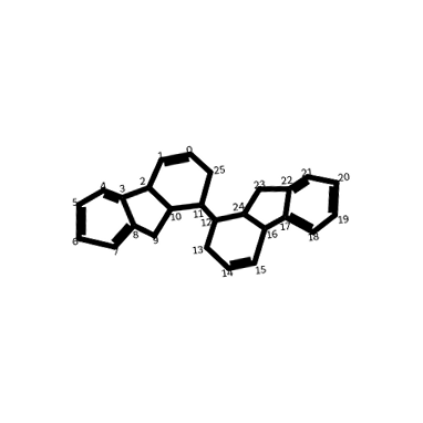 C1=CC2c3ccccc3CC2C(C2CC=CC3c4ccccc4CC32)C1